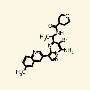 Cc1ccc2ncc(-c3cnn4c(N)c(Br)c(C(C)NC(=O)C5CCOCC5)nc34)cc2c1